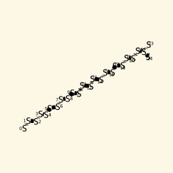 S=S=S=S=S=S=S=S=S=S=S=S=S=S=S=S=S=S=S=S=S=S=S(=S)=S